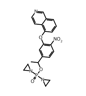 CC(OP(=O)(N1CC1)N1CC1)c1ccc([N+](=O)[O-])c(Oc2cccc3cnccc23)c1